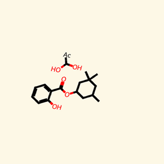 CC(=O)C(O)O.CC1CC(OC(=O)c2ccccc2O)CC(C)(C)C1